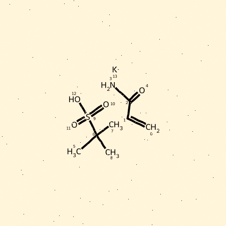 C=CC(N)=O.CC(C)(C)S(=O)(=O)O.[K]